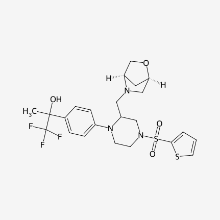 CC(O)(c1ccc(N2CCN(S(=O)(=O)c3cccs3)CC2CN2C[C@H]3C[C@@H]2CO3)cc1)C(F)(F)F